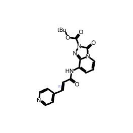 CC(C)(C)OC(=O)n1nc2c(NC(=O)/C=C/c3ccncc3)cccn2c1=O